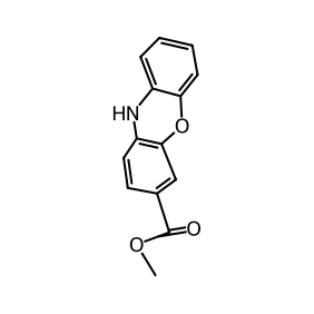 COC(=O)c1ccc2c(c1)Oc1ccccc1N2